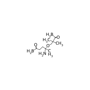 BC(=O)CCC(C)(N)OCC(C)(C)C(B)=O